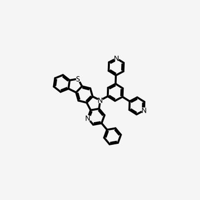 c1ccc(-c2cnc3c4cc5c(cc4n(-c4cc(-c6ccncc6)cc(-c6ccncc6)c4)c3c2)sc2ccccc25)cc1